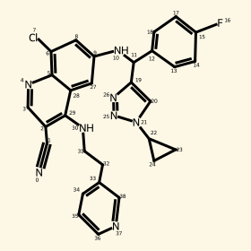 N#Cc1cnc2c(Cl)cc(NC(c3ccc(F)cc3)c3cn(C4CC4)nn3)cc2c1NCCc1cccnc1